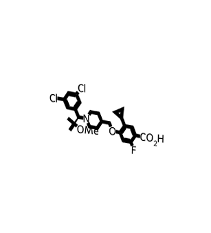 COC(C)(C)[C@@H](c1cc(Cl)cc(Cl)c1)N1CCC(COc2cc(F)c(C(=O)O)cc2C2CC2)CC1